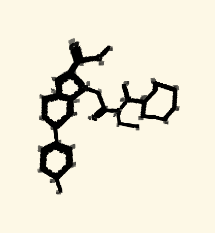 CCN(C(=O)Cn1c(C(=O)OC)cc2ccc(-c3ccc(C)cc3)cc21)N(C)C1CCCCC1